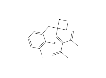 C=C(C)C(=CC1(Cc2cccc(F)c2F)CCC1)C(=C)C